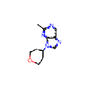 Cc1ncc2ncn(C3CCOCC3)c2n1